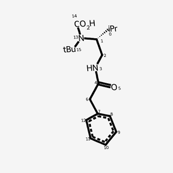 CC(C)[C@H](CNC(=O)Cc1ccccc1)N(C(=O)O)C(C)(C)C